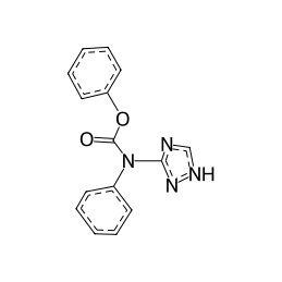 O=C(Oc1ccccc1)N(c1ccccc1)c1nc[nH]n1